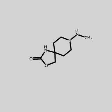 CNN1CCC2(CC1)COC(=O)N2